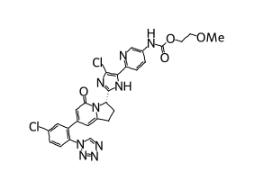 COCCOC(=O)Nc1ccc(-c2[nH]c([C@@H]3CCc4cc(-c5cc(Cl)ccc5-n5cnnn5)cc(=O)n43)nc2Cl)nc1